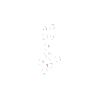 c1ccc(-c2ccccc2-c2nc(-c3ccc(-c4ccc5c(c4)C4(c6ccccc6Oc6ccccc64)c4ccccc4-5)cc3)nc(-c3cccc4c3sc3ccccc34)n2)cc1